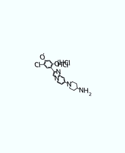 COc1cc(OC)c(-c2cn3ccc(N4CCC(N)CC4)cc3n2)cc1Cl.Cl.Cl